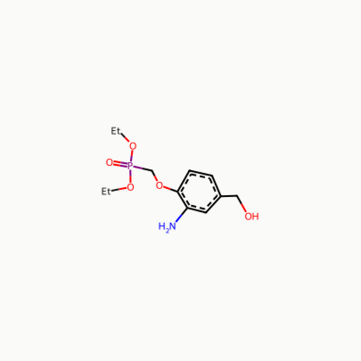 CCOP(=O)(COc1ccc(CO)cc1N)OCC